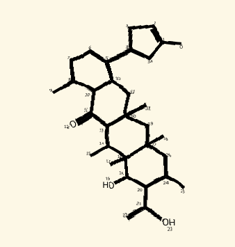 CC1=CCC(C2CCC(C)C3C(=O)C4C(C)C5(C)C(O)C(C(C)O)C(C)CC5(C)CC4(C)CC23)C1